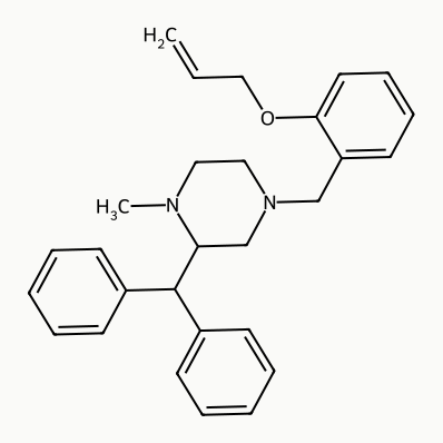 C=CCOc1ccccc1CN1CCN(C)C(C(c2ccccc2)c2ccccc2)C1